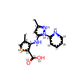 Cc1cc(Nc2c(C)csc2C(=O)O)n(-c2ccccn2)n1